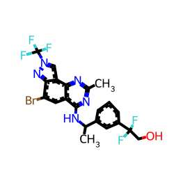 Cc1nc(NC(C)c2cccc(C(F)(F)CO)c2)c2cc(Br)c3nn(C(F)(F)F)cc3c2n1